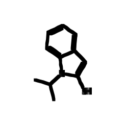 CC(C)n1c(S)cc2ccccc21